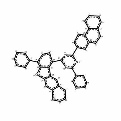 c1ccc(-c2nc(-c3ccc4c(ccc5ccccc54)c3)nc(-c3ccc(-c4ccccc4)c4oc5cc6ccccc6cc5c34)n2)cc1